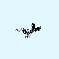 Cn1ncc2c(N3CC4CCC(C3)O4)nc(-c3ccc(NC(=O)Nc4ccc(N)cc4)cc3)nc21